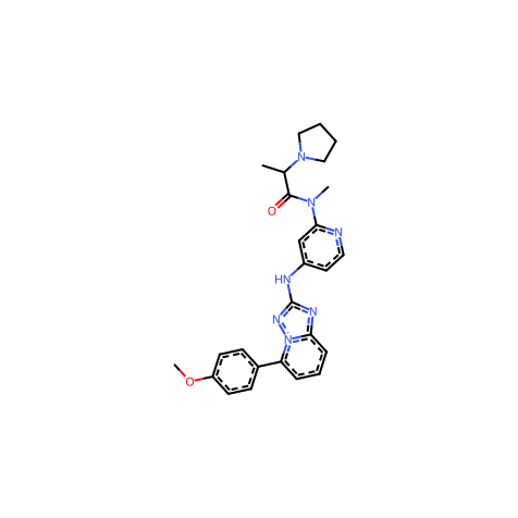 COc1ccc(-c2cccc3nc(Nc4ccnc(N(C)C(=O)C(C)N5CCCC5)c4)nn23)cc1